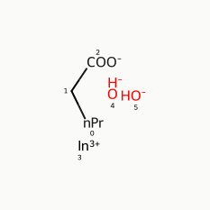 CCCCC(=O)[O-].[In+3].[OH-].[OH-]